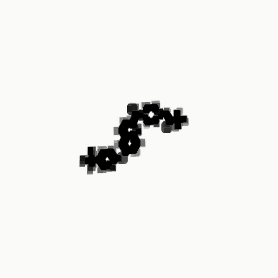 CC(C)(C)C(=O)CN1CCN(C(=O)c2ccc3cc(Oc4ccc(C(F)(F)F)cn4)ccc3n2)CC1